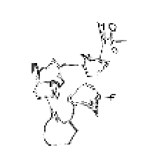 CS(=O)(=O)Nc1cccc(-c2cnc3ccc(N4CCCCC4c4cccc(F)c4)nn23)n1